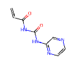 C=CC(=O)NC(=O)Nc1cnccn1